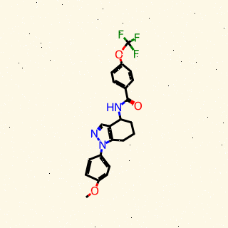 COc1ccc(-n2ncc3c2CCCC3NC(=O)c2ccc(OC(F)(F)F)cc2)cc1